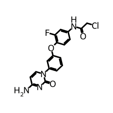 Nc1ccn(-c2cccc(Oc3ccc(NC(=O)CCl)cc3F)c2)c(=O)n1